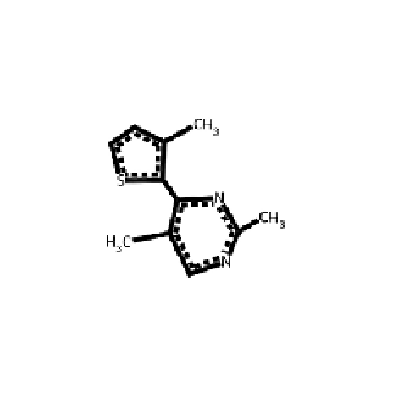 Cc1ncc(C)c(-c2sccc2C)n1